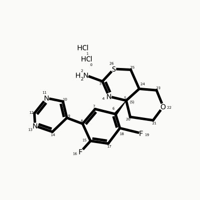 Cl.Cl.NC1=N[C@@]2(c3cc(-c4cncnc4)c(F)cc3F)CCOCC2CS1